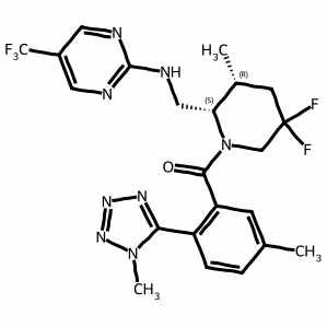 Cc1ccc(-c2nnnn2C)c(C(=O)N2CC(F)(F)C[C@@H](C)[C@H]2CNc2ncc(C(F)(F)F)cn2)c1